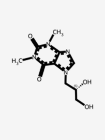 Cn1c(=O)c2c(ncn2C[C@H](O)CO)n(C)c1=O